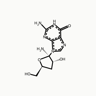 Nc1nc2c(ncn2[C@]2(N)O[C@H](CO)C[C@H]2O)c(=O)[nH]1